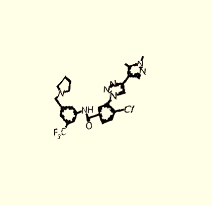 Cc1c(-c2cn(-c3cc(C(=O)Nc4cc(CN5CCCC5)cc(C(F)(F)F)c4)ccc3Cl)nn2)cnn1C